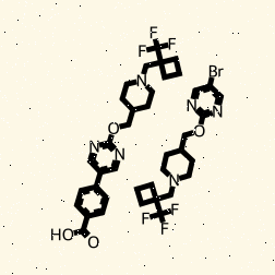 FC(F)(F)C1(CN2CCC(COc3ncc(Br)cn3)CC2)CCC1.O=C(O)c1ccc(-c2cnc(OCC3CCN(CC4(C(F)(F)F)CCC4)CC3)nc2)cc1